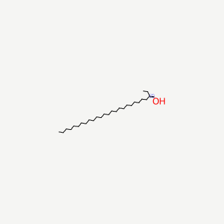 CCCCCCCCCCCCCCCCCCCCCCCC/C(=C\O)CC